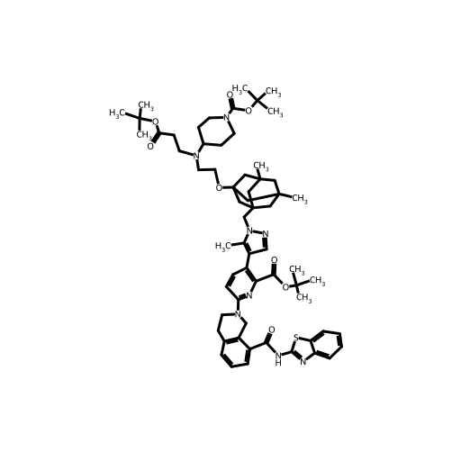 Cc1c(-c2ccc(N3CCc4cccc(C(=O)Nc5nc6ccccc6s5)c4C3)nc2C(=O)OC(C)(C)C)cnn1CC12CC3(C)CC(C)(C1)CC(OCCN(CCC(=O)OC(C)(C)C)C1CCN(C(=O)OC(C)(C)C)CC1)(C3)C2